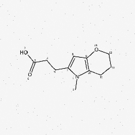 Cn1c(CCC(=O)O)cc2c1CCCO2